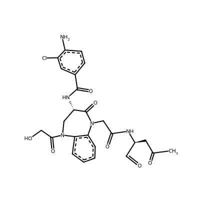 CC(=O)C[C@@H](C=O)NC(=O)CN1C(=O)[C@@H](NC(=O)c2ccc(N)c(Cl)c2)CN(C(=O)CO)c2ccccc21